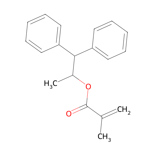 C=C(C)C(=O)OC(C)C(c1ccccc1)c1ccccc1